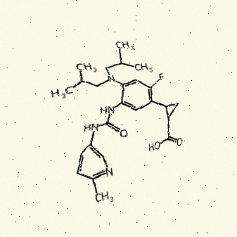 Cc1ccc(NC(=O)Nc2cc(C3CC3C(=O)O)c(F)cc2N(CC(C)C)CC(C)C)cn1